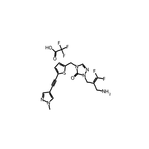 Cn1cc(C#Cc2ccc(Cn3cnn(CC(CN)=C(F)F)c3=O)s2)cn1.O=C(O)C(F)(F)F